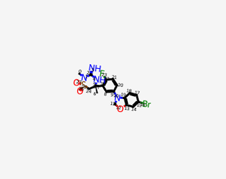 CN1C(=N)N[C@](C)(c2cc(N3COc4cc(Br)ccc43)ccc2F)CS1(=O)=O